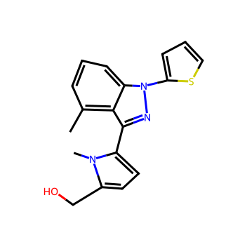 Cc1cccc2c1c(-c1ccc(CO)n1C)nn2-c1cccs1